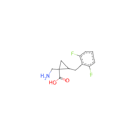 NCC1(C(=O)O)CC1Cc1c(F)cccc1F